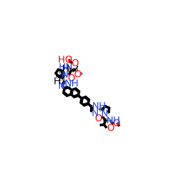 COC(=O)N[C@H](C(=O)N1CCC[C@H]1c1ncc(-c2ccc(-c3ccc4c(ccc5nc([C@@H]6[C@H]7CC[C@H](C7)N6C(=O)[C@@H](NC(=O)O)[C@@H](C)OC)[nH]c54)c3)cc2)[nH]1)C(C)C